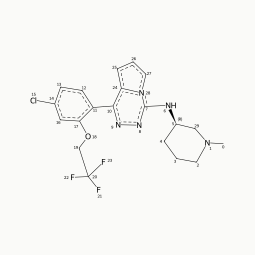 CN1CCC[C@@H](Nc2nnc(-c3ccc(Cl)cc3OCC(F)(F)F)c3cccn23)C1